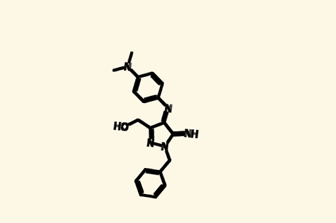 CN(C)c1ccc(N=C2C(=N)N(Cc3ccccc3)N=C2CO)cc1